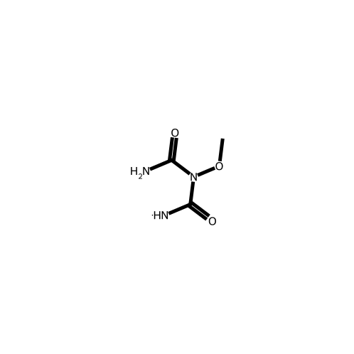 CON(C([NH])=O)C(N)=O